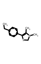 CCc1ccc(C2=C(C)N(C)CS2)cc1